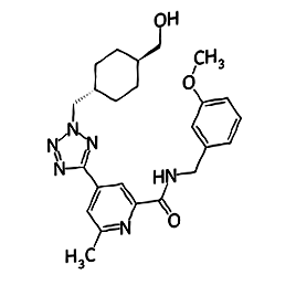 COc1cccc(CNC(=O)c2cc(-c3nnn(C[C@H]4CC[C@H](CO)CC4)n3)cc(C)n2)c1